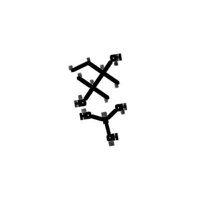 CCC(C)(O)C(C)(C)O.OB(O)O